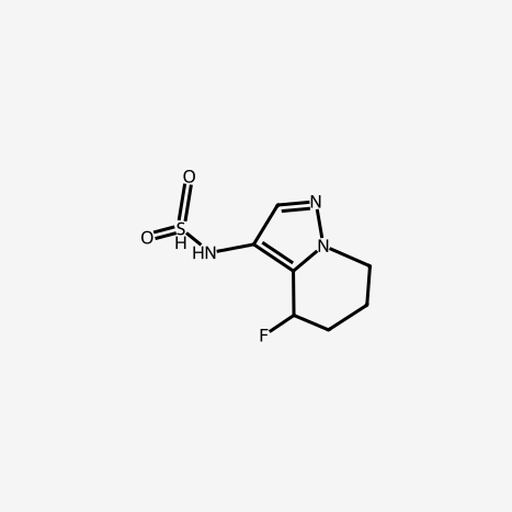 O=[SH](=O)Nc1cnn2c1C(F)CCC2